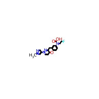 Cn1cc(-n2ccc(=O)c(Cc3cccc(N(CCF)C(=O)O)c3)n2)cn1